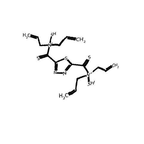 C=CC[N+](S)(CC=C)C(=S)c1nnc(C(=S)[N+](S)(CC=C)CC=C)s1